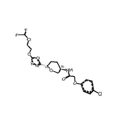 O=C(COc1ccc(Cl)cc1)N[C@@H]1CC[C@@H](c2nnc(OCCOC(F)F)o2)OC1